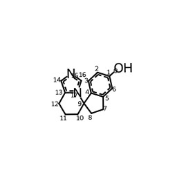 Oc1ccc2c(c1)CCC21CCCc2cncn21